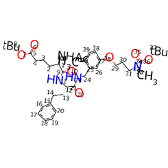 CC(=O)N[C@@H](CCCC(=O)OC(C)(C)C)C(=O)N[C@@H](CCc1ccccc1)C(=O)NCc1cc(OCCCN(C)C(=O)OC(C)(C)C)ccc1C